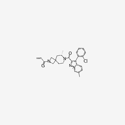 C=CC(=O)N1CC2(CCN(C(=O)c3nn4cc(C)ccc4c3-c3ccccc3Cl)[C@@H](C)C2)C1